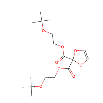 CC(C)(C)OCCOC(=O)C1(C(=O)OCCOC(C)(C)C)OC=CO1